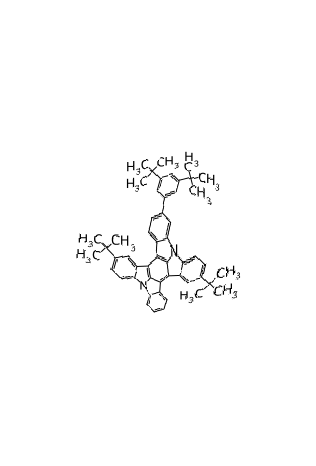 CC(C)(C)c1cc(-c2ccc3c4c5c6cc(C(C)(C)C)ccc6n6c7ccccc7c(c7c8cc(C(C)(C)C)ccc8n(c3c2)c74)c56)cc(C(C)(C)C)c1